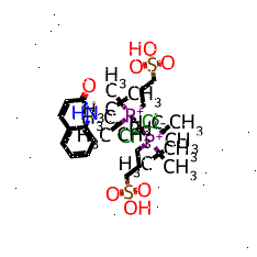 CC(C)(C)[P+](CCCS(=O)(=O)O)(C(C)(C)C)[Pd-2]([Cl])([Cl])[P+](CCCS(=O)(=O)O)(C(C)(C)C)C(C)(C)C.O=c1ccc2ccccc2[nH]1